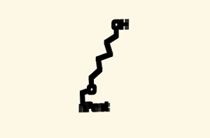 CCCCCCOCCCCCCO